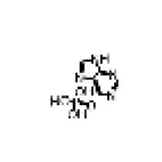 O=P(O)(O)O.c1ncc2nc[nH]c2n1